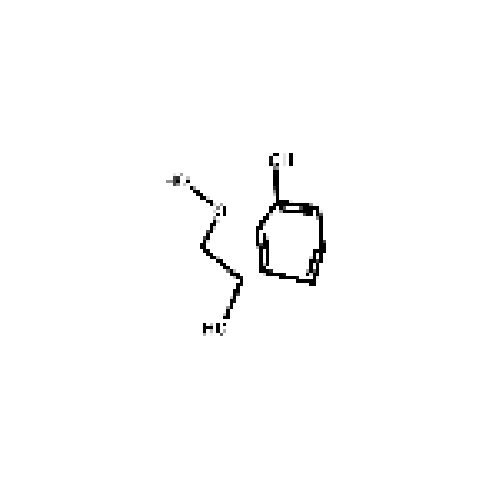 OCCOO.Oc1ccccc1